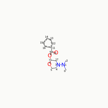 CN(C)N1CCOC(OC(=O)c2ccccc2)C1